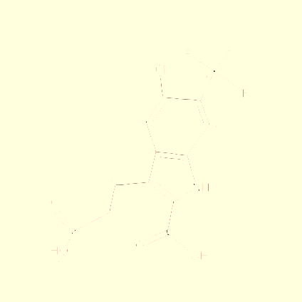 O=C(O)CCc1c(C(=O)O)[nH]c2cc(C(F)(F)F)c(Cl)cc12